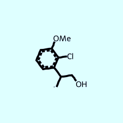 [CH2]C(CO)c1cccc(OC)c1Cl